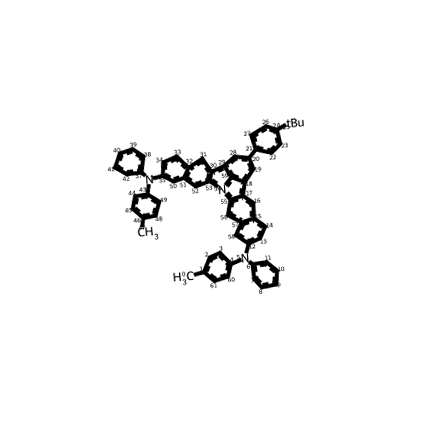 Cc1ccc(N(c2ccccc2)c2ccc3cc4c5cc(-c6ccc(C(C)(C)C)cc6)cc6c7cc8ccc(N(c9ccccc9)c9ccc(C)cc9)cc8cc7n(c4cc3c2)c56)cc1